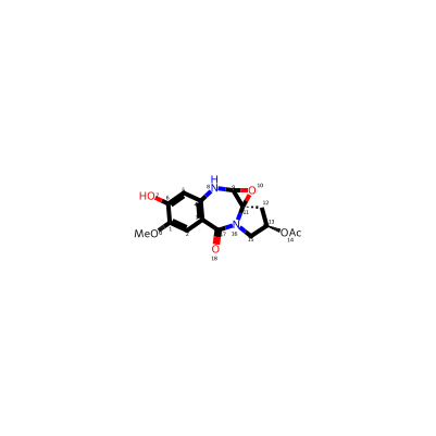 COc1cc2c(cc1O)NC1O[C@]13C[C@@H](OC(C)=O)CN3C2=O